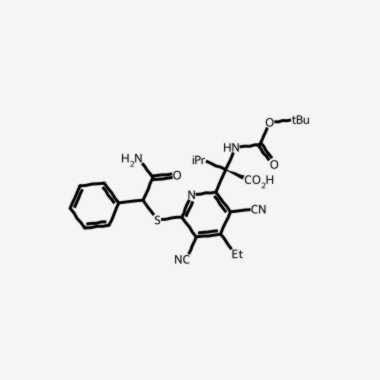 CCc1c(C#N)c(SC(C(N)=O)c2ccccc2)nc([C@](NC(=O)OC(C)(C)C)(C(=O)O)C(C)C)c1C#N